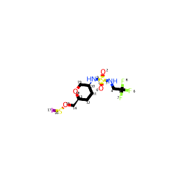 O=S(=O)(NCC(F)(F)F)N[C@@H]1CC[C@@H](COSI)OC1